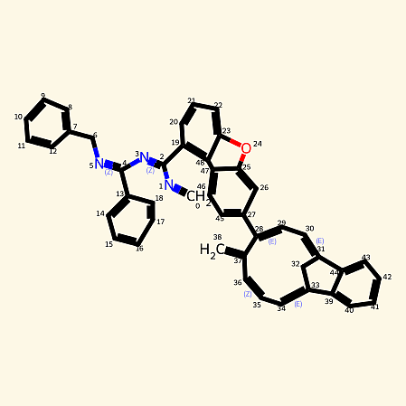 C=N/C(=N\C(=N/Cc1ccccc1)c1ccccc1)c1cccc2oc3cc(/C4=C/C=C5\C/C(=C\C=C/C4=C)c4ccccc45)ccc3c12